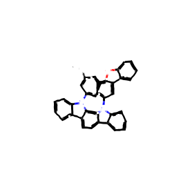 N#Cc1cccc(-n2c3ccccc3c3ccc4c5ccccc5n(-c5ccc6oc7ccccc7c6c5)c4c32)c1